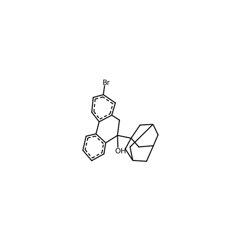 OC1(C23CC4CC(CC(C4)C2)C3)Cc2cc(Br)ccc2-c2ccccc21